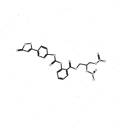 O=C(Oc1ccc(-c2cc(=S)ss2)cc1)Oc1ccccc1C(=O)OCC(CO[N+](=O)[O-])O[N+](=O)[O-]